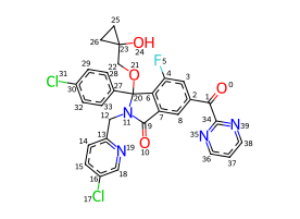 O=C(c1cc(F)c2c(c1)C(=O)N(Cc1ccc(Cl)cn1)C2(OCC1(O)CC1)c1ccc(Cl)cc1)c1ncccn1